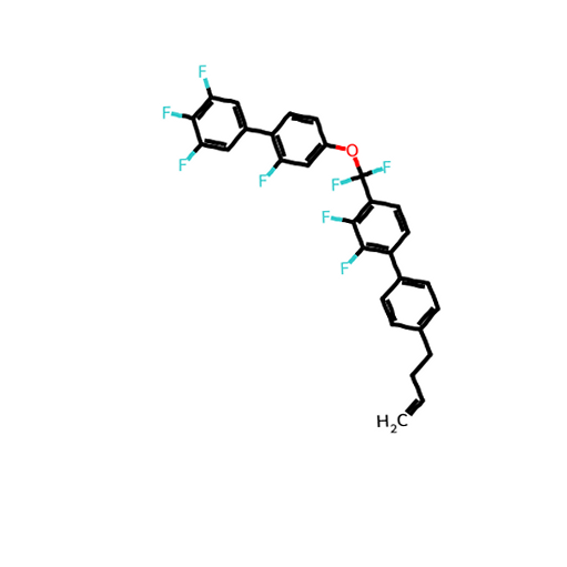 C=CCCc1ccc(-c2ccc(C(F)(F)Oc3ccc(-c4cc(F)c(F)c(F)c4)c(F)c3)c(F)c2F)cc1